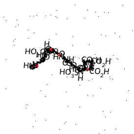 Cc1cc(OCCCC(=O)NCCNC(=O)COCCOCCNC(=O)[C@H](CS(=O)(=O)O)NC(=O)CN2CCN(CC(=O)O)CCN(CC(=O)O)CCN(CC(=O)O)CC2)cc(C)c1S(=O)(=O)N[C@@H](CNC(=O)c1ccc(CCc2ccc3c(n2)NCCC3)cc1)C(=O)O